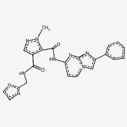 Cn1ncc(C(=O)NCc2ncco2)c1C(=O)Nc1ccn2cc(-c3ccccc3)nc2n1